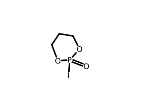 O=P1(I)OCCCO1